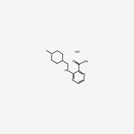 CN1CCC(CNc2nccnc2C(=O)O)CC1.Cl